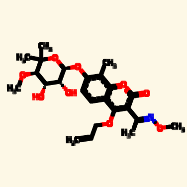 C=CCOc1c(/C(C)=N/OC)c(=O)oc2c(C)c(O[C@@H]3OC(C)(C)[C@H](OC)[C@@H](O)[C@H]3O)ccc12